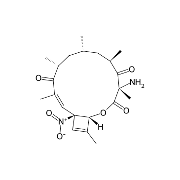 CC1=C[C@]2([N+](=O)[O-])/C=C(/C)C(=O)[C@H](C)C[C@H](C)C[C@@H](C)C(=O)[C@](C)(N)C(=O)O[C@H]12